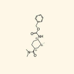 C[C@@H]1C[C@@H](C(=O)N(C)C)CC[C@@H]1NC(=O)OCc1ccccc1